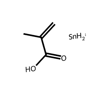 C=C(C)C(=O)O.[SnH2]